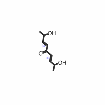 CC(O)/C=C/C(=O)/C=C/C(C)O